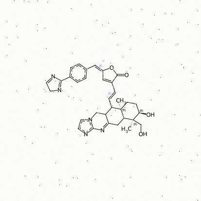 C[C@]12CC[C@@H](O)[C@@](C)(CO)C1CC1=Nc3nccn3CC1C2/C=C/C1=CC(=C\c2ccc(C3=NCC=N3)cc2)/OC1=O